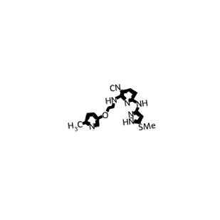 [C-]#[N+]c1ccc(Nc2cc(SC)[nH]n2)nc1NCCOc1ccc(C)nc1